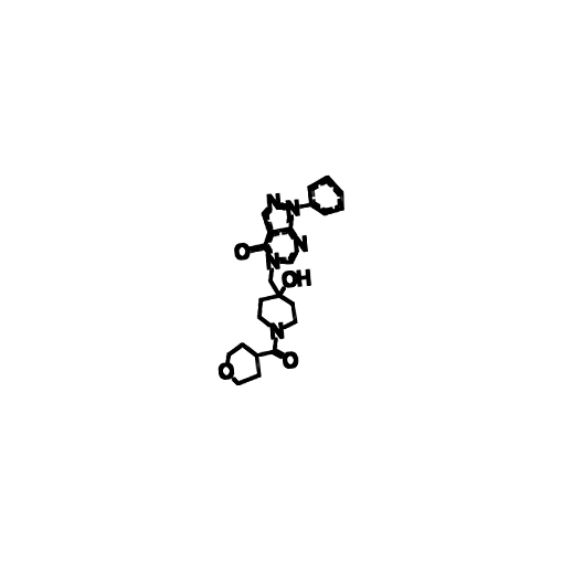 O=C(C1CCOCC1)N1CCC(O)(Cn2cnc3c(cnn3-c3ccccc3)c2=O)CC1